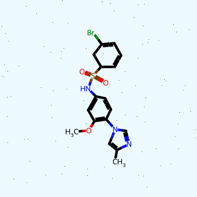 COc1cc(NS(=O)(=O)C2C=CC=C(Br)C2)ccc1-n1cnc(C)c1